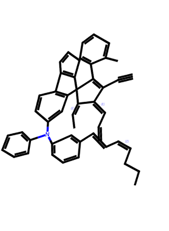 C#CC1=C(c2ccccc2C)C2(C3=C(C=CC3)c3ccc(N(c4ccccc4)c4cccc(C=C/C=C\CCC)c4)cc32)C(=C/C)/C1=C\C=C